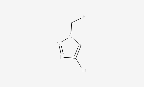 CCc1cn(CF)nn1